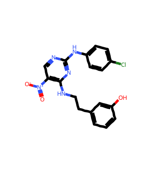 O=[N+]([O-])c1cnc(Nc2ccc(Cl)cc2)nc1NCCc1cccc(O)c1